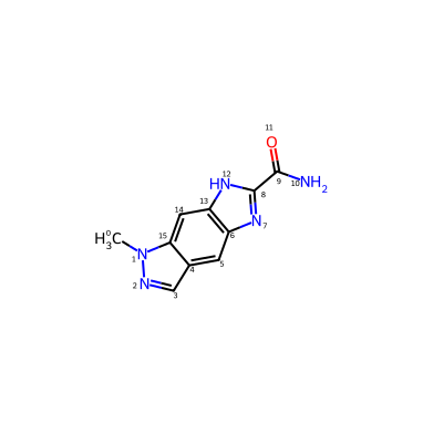 Cn1ncc2cc3nc(C(N)=O)[nH]c3cc21